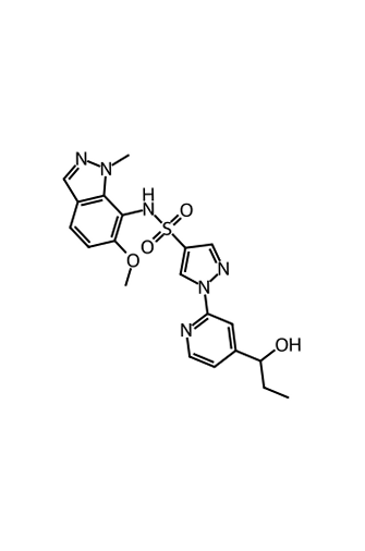 CCC(O)c1ccnc(-n2cc(S(=O)(=O)Nc3c(OC)ccc4cnn(C)c34)cn2)c1